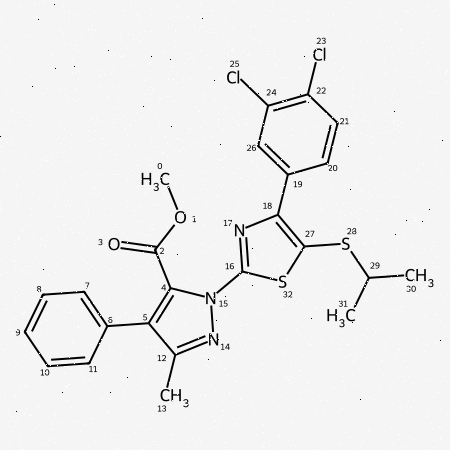 COC(=O)c1c(-c2ccccc2)c(C)nn1-c1nc(-c2ccc(Cl)c(Cl)c2)c(SC(C)C)s1